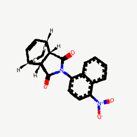 O=C1[C@@H]2[C@H](C(=O)N1c1ccc([N+](=O)[O-])c3ccccc13)[C@@H]1C=C[C@H]2CCC1